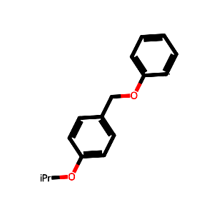 CC(C)Oc1ccc(COc2[c]cccc2)cc1